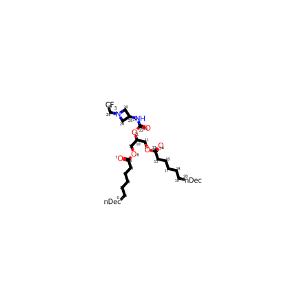 CCCCCCCCCCCCCCCC(=O)OCC(COC(=O)CCCCCCCCCCCCCCC)OC(=O)NC1CN(CC(F)(F)F)C1